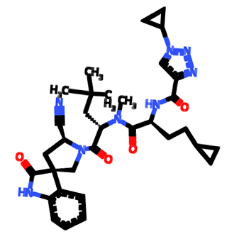 CN(C(=O)[C@H](CCC1CC1)NC(=O)c1cn(C2CC2)nn1)[C@@H](CC(C)(C)C)C(=O)N1C[C@]2(C[C@H]1C#N)C(=O)Nc1ccccc12